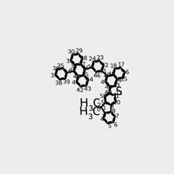 CC1(C)c2ccccc2-c2cc3sc4c5ccccc5c(-c5cccc(-c6c7ccccc7c(-c7ccccc7)c7ccccc67)c5)cc4c3cc21